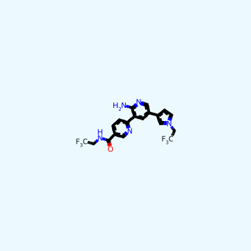 Nc1ncc(-c2ccn(CC(F)(F)F)c2)cc1-c1ccc(C(=O)NCC(F)(F)F)cn1